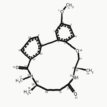 COc1ccc2c(c1)-c1cccc(c1)C(=O)N(C)[C@H](C)CCC(=O)N[C@H](C)CO2